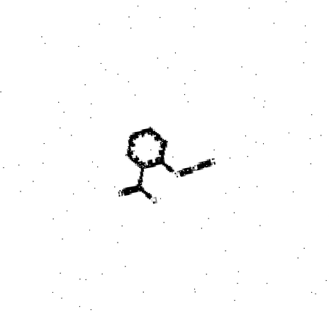 O=C(Cl)c1ccccc1N=C=S